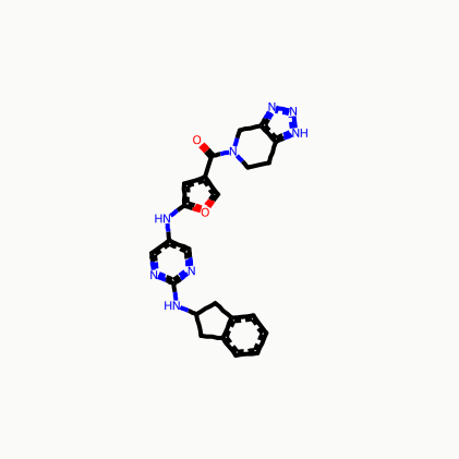 O=C(c1coc(Nc2cnc(NC3Cc4ccccc4C3)nc2)c1)N1CCc2[nH]nnc2C1